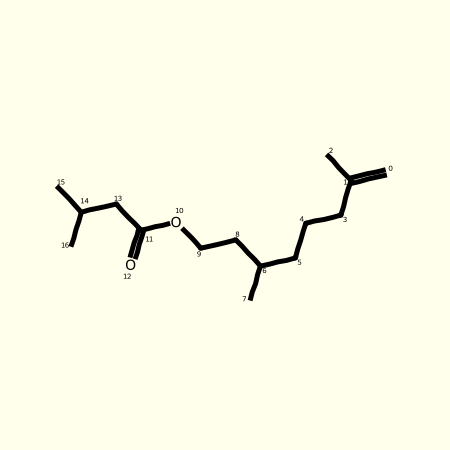 C=C(C)CCCC(C)CCOC(=O)CC(C)C